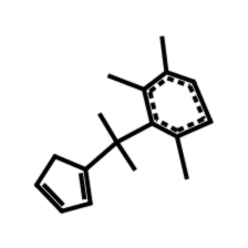 Cc1ccc(C)c(C(C)(C)C2=CC=CC2)c1C